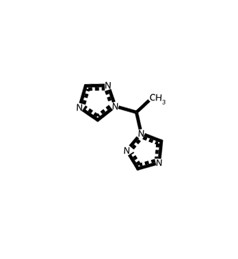 CC(n1cncn1)n1cncn1